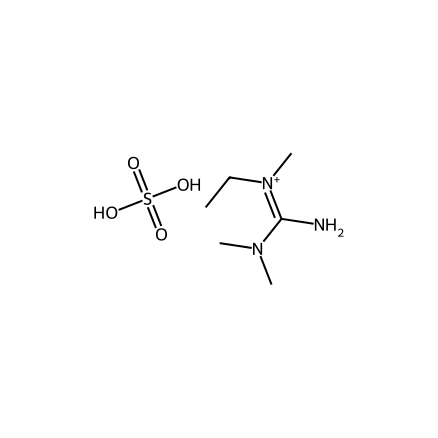 CC[N+](C)=C(N)N(C)C.O=S(=O)(O)O